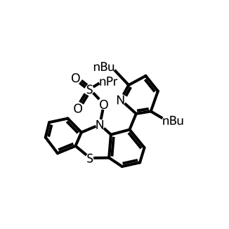 CCCCc1ccc(CCCC)c(-c2cccc3c2N(OS(=O)(=O)CCC)c2ccccc2S3)n1